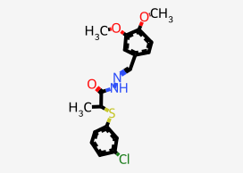 COc1ccc(/C=N/NC(=O)C(C)Sc2cccc(Cl)c2)cc1OC